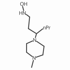 CCCC(CCNO)N1CCN(C)CC1